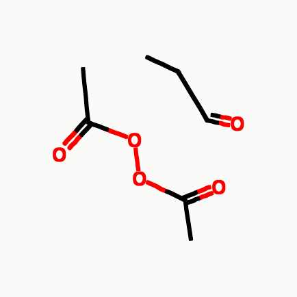 CC(=O)OOC(C)=O.CCC=O